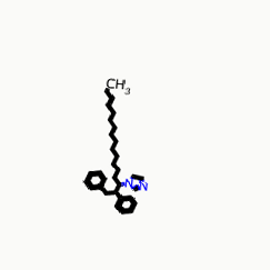 CCCCCCCCCCCCCCC(C(Cc1ccccc1)c1ccccc1)n1ccnc1